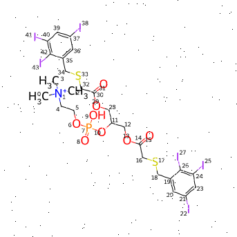 C[N+](C)(C)CCOP(=O)(O)OC(COC(=O)CSCc1cc(I)cc(I)c1I)COC(=O)CSCc1cc(I)cc(I)c1I